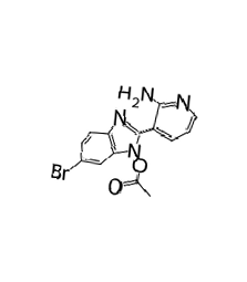 CC(=O)On1c(-c2cccnc2N)nc2ccc(Br)cc21